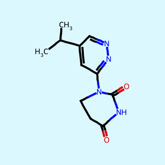 CC(C)c1cnnc(N2CCC(=O)NC2=O)c1